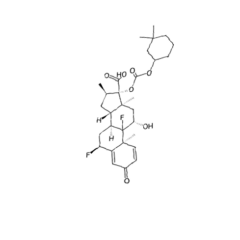 C[C@@H]1C[C@H]2[C@@H]3C[C@H](F)C4=CC(=O)C=C[C@]4(C)C3(F)[C@@H](O)C[C@]2(C)[C@]1(OC(=O)OC1CCCC(C)(C)C1)C(=O)O